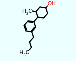 CCCCc1cccc(C2CCC(O)CC2C)c1